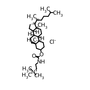 CC(C)CCC[C@@H](C)[C@H]1CC[C@H]2[C@@H]3CC=C4CC(OC(=O)NCC[N+](C)(C)C)CC[C@]4(C)[C@H]3CC[C@]12C.[Cl-]